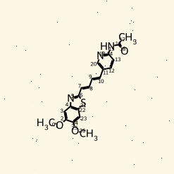 COc1cc2nc(/C=C/C=C/c3ccc(NC(C)=O)nc3)sc2cc1OC